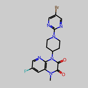 Cn1c(=O)c(=O)n(C2CCN(c3ncc(Br)cn3)CC2)c2ncc(F)cc21